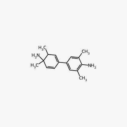 Cc1cc(C2=CC(C)C(C)(N)C=C2)cc(C)c1N